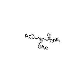 CCCOC(=O)CCN(CCOC(C)=O)CCOC(C)=O